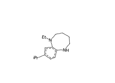 CCN1CCCCNc2ccc(C(C)C)cc21